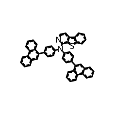 c1ccc2c(c1)cc(-c1ccc(N(c3ccc(-c4cc5ccccc5c5ccccc45)cc3)c3nccc4c3sc3ccccc34)cc1)c1ccccc12